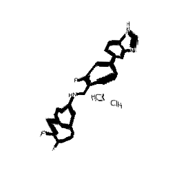 Cl.Cl.Fc1cc2c(cc1F)CC(NCc1ccc(-c3ccc4[nH]cnc4c3)cc1F)C2